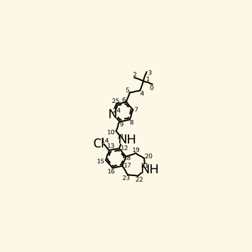 CC(C)(C)CCc1ccc(CNc2c(Cl)ccc3c2CCNCC3)nc1